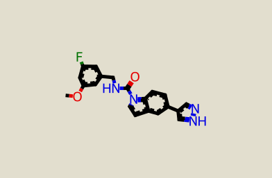 COc1cc(F)cc(CNC(=O)n2ccc3cc(-c4cn[nH]c4)ccc32)c1